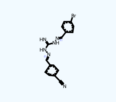 N#Cc1ccc(/C=N/NC(=N)N/N=C/c2ccc(Br)cc2)cc1